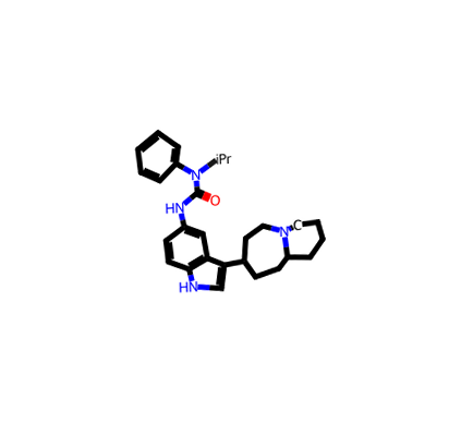 CC(C)N(C(=O)Nc1ccc2[nH]cc(C3CCC4CCCCN4CC3)c2c1)c1ccccc1